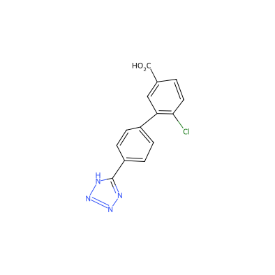 O=C(O)c1ccc(Cl)c(-c2ccc(-c3nnn[nH]3)cc2)c1